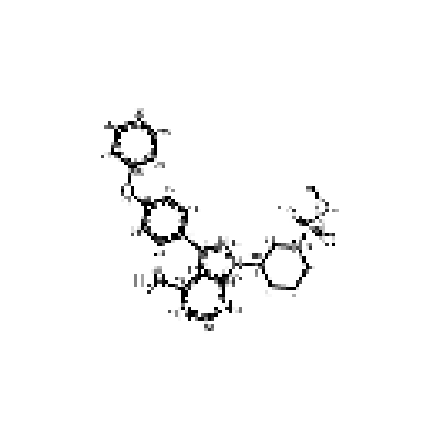 COS(=O)(=O)N1CCC[C@@H](n2nc(-c3ccc(Oc4ccccc4)cc3)c3c(N)ncnc32)C1